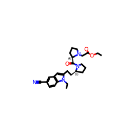 CCOC(=O)CN1CCC[C@@H]1C(=O)N1CCC[C@H]1CCc1cc2cc(C#N)ccc2n1CC